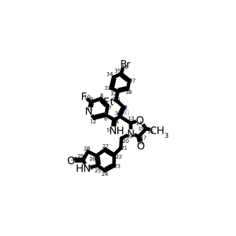 CCC(/C=C(\C(=N)c1ccc(F)nc1)C1OC(C)C(=O)N1CCc1ccc2c(c1)CC(=O)N2)c1ccc(Br)cc1